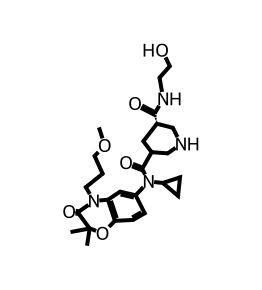 COCCCN1C(=O)C(C)(C)Oc2ccc(N(C(=O)C3CNC[C@@H](C(=O)NCCO)C3)C3CC3)cc21